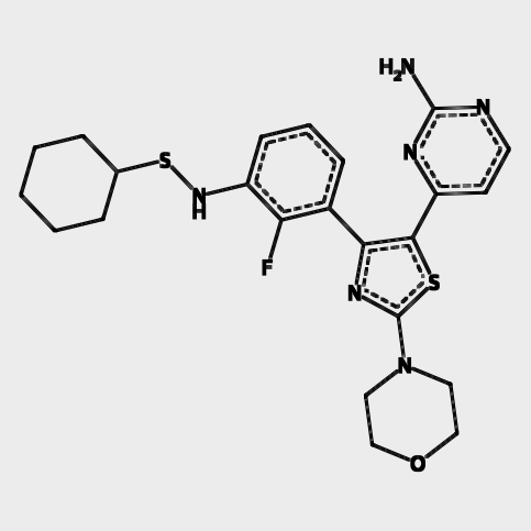 Nc1nccc(-c2sc(N3CCOCC3)nc2-c2cccc(NSC3CCCCC3)c2F)n1